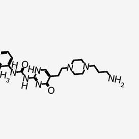 Cc1ccccc1NC(=O)Nc1nc(=O)c(CCN2CCN(CCCN)CC2)c[nH]1